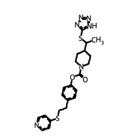 CC(Sc1nnn[nH]1)C1CCN(C(=O)Oc2ccc(CCSc3ccncc3)cc2)CC1